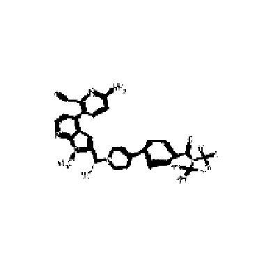 [2H]C([2H])([2H])N(C(=O)c1ccc(C2=CCN([C@H](C)c3cc4c(-c5ccc(N)nc5C#N)ccnc4n3C)CC2)cc1)C([2H])([2H])[2H]